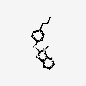 [CH2]CCc1ccc(Oc2nc3cccnc3n2C)cc1